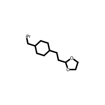 CC(C)CC1CCC(CCC2OCCO2)CC1